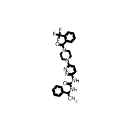 CC(NC(=O)Nc1ccc(N2CCN(C(=O)c3ccccc3C(F)(F)F)CC2)nn1)c1ccccc1